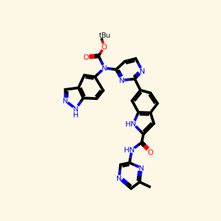 Cc1cncc(NC(=O)c2cc3ccc(-c4nccc(N(C(=O)OC(C)(C)C)c5ccc6[nH]ncc6c5)n4)cc3[nH]2)n1